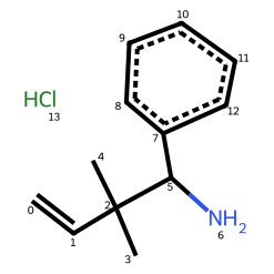 C=CC(C)(C)C(N)c1ccccc1.Cl